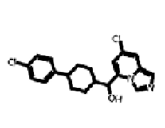 OC(c1cc(Cl)cc2cncn12)C1CCC(c2ccc(Cl)cc2)CC1